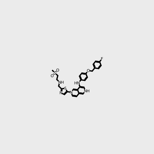 CS(=O)(=O)CCNCc1ncc(N2C=CC3=CNC=C(Nc4ccc(OCc5ccc(F)cc5)cc4)C3=C2)s1